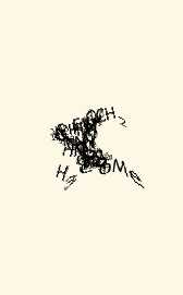 C=CC(=O)N1CCN(C2NC(OCC3CCCN3C)NC3C(=O)[C@@]4(CCC32)CN(C)c2cc(OC)ccc2O4)CC1CC